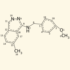 COc1ccc(CNc2nncc3ccc(C)cc23)cc1